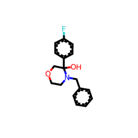 OC1(c2ccc(F)cc2)COCCN1Cc1ccccc1